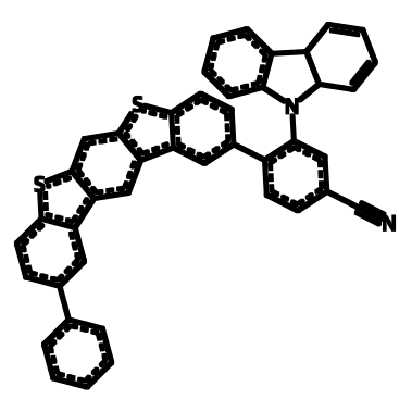 N#Cc1ccc(-c2ccc3sc4cc5sc6ccc(-c7ccccc7)cc6c5cc4c3c2)c(N2c3ccccc3C3C=CC=CC32)c1